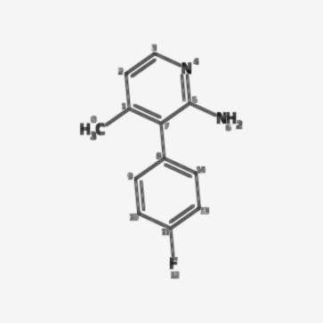 Cc1ccnc(N)c1-c1ccc(F)cc1